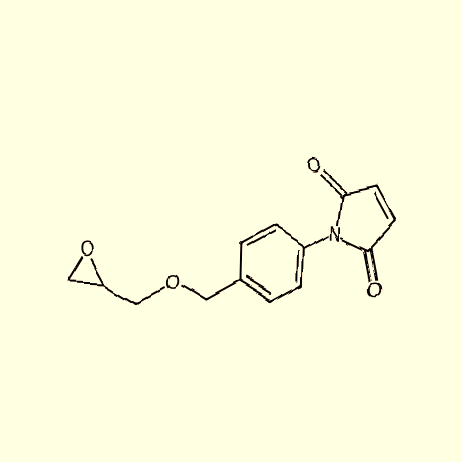 O=C1C=CC(=O)N1c1ccc(COCC2CO2)cc1